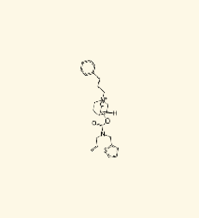 C=CCN(Cc1cccs1)C(=O)O[C@H]1C[N+]2(CCCc3ccccc3)CCC1CC2